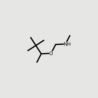 CNCOC(C)C(C)(C)C